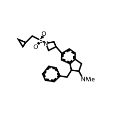 CNC1Cc2ccc(C3CN(S(=O)(=O)CC4CC4)C3)cc2C1Cc1ccccc1